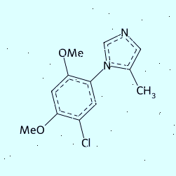 COc1cc(OC)c(-n2cncc2C)cc1Cl